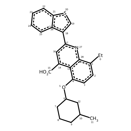 CCc1ccc(OC2CCCC(C)C2)c2c(C(=O)O)cc(-c3csc4ccccc34)nc12